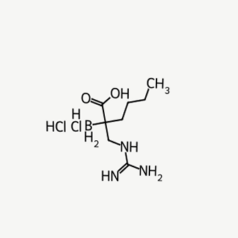 BC(CCCC)(CNC(=N)N)C(=O)O.Cl.Cl